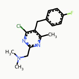 Cc1nc(CN(C)C)nc(Cl)c1Cc1ccc(F)cc1